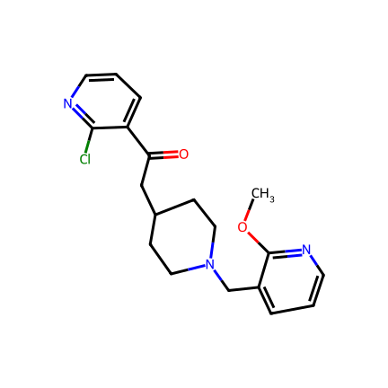 COc1ncccc1CN1CCC(CC(=O)c2cccnc2Cl)CC1